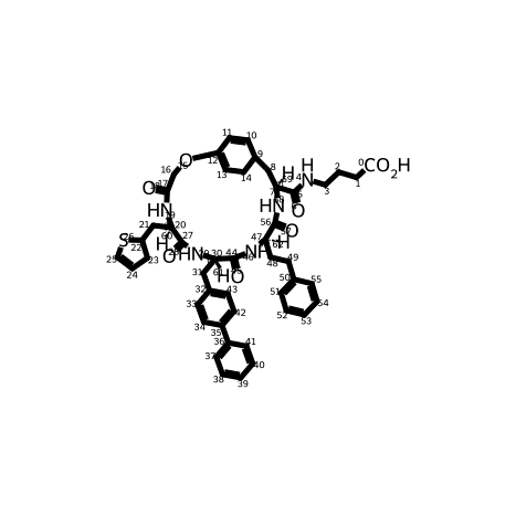 O=C(O)CCCNC(=O)[C@@H]1CC2C=CC(=CC2)OCC(=O)N[C@H](CC2CC=CS2)C(=O)N[C@@H](Cc2ccc(-c3ccccc3)cc2)C(=O)N[C@H](CCc2ccccc2)C(=O)N1